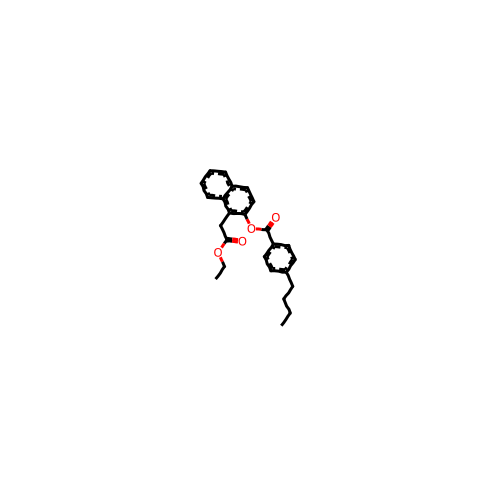 CCCCc1ccc(C(=O)Oc2ccc3ccccc3c2CC(=O)OCC)cc1